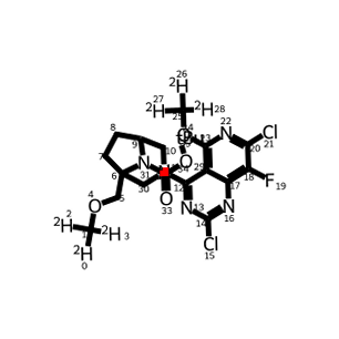 [2H]C([2H])([2H])OCC12CCC(CN(c3nc(Cl)nc4c(F)c(Cl)nc(OC([2H])([2H])[2H])c34)C1)N2C(=O)OC(C)(C)C